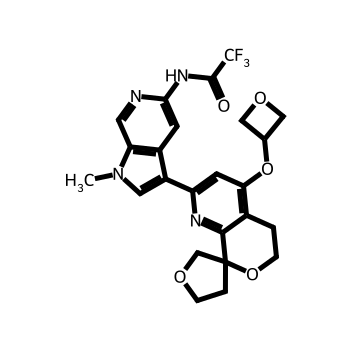 Cn1cc(-c2cc(OC3COC3)c3c(n2)C2(CCOC2)OCC3)c2cc(NC(=O)C(F)(F)F)ncc21